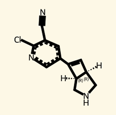 N#Cc1cc(C2=C[C@H]3CNC[C@@H]23)cnc1Cl